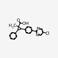 CC1(C(=O)O)C(c2ccccc2)C1c1ccc(-c2ncc(Cl)cn2)cc1